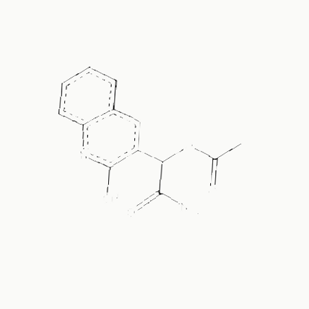 CC(=O)OC(C(N)=O)c1cc2ccccc2nc1O